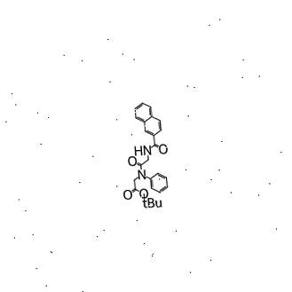 CC(C)(C)OC(=O)CN(C(=O)CNC(=O)c1ccc2ccccc2c1)c1ccccc1